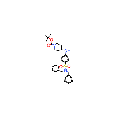 CC(C)(C)OC(=O)N1CCC(Nc2ccc(S(=O)(=O)N(Cc3ccccc3)Cc3ccccc3)cc2)CC1